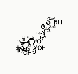 O=C(O)c1c(OC2CN(C(=O)C[C@@H]3CNCCO3)C2)ccc2c1O[B-](O)(O)[C@H]1C[C@@H]21